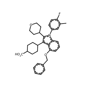 Cc1cc(-n2c(C3CCOCC3)c(C3CCC(C(=O)O)CC3)c3c(OCc4ccccc4)cccc32)ccc1F